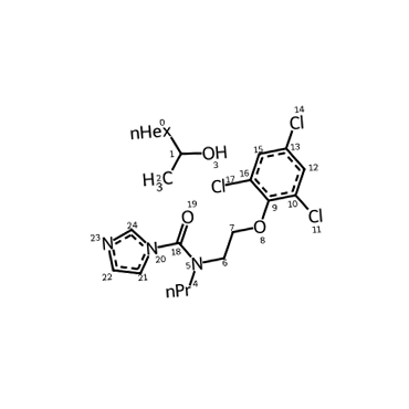 CCCCCCC(C)O.CCCN(CCOc1c(Cl)cc(Cl)cc1Cl)C(=O)n1ccnc1